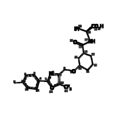 Cc1ccc(-c2nc(COC3CCCC(C(=O)N[C@H](C(=O)O)C(C)C)C3)c(C(F)(F)F)o2)cc1